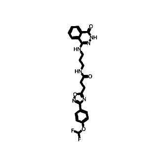 O=C(CCc1nc(-c2ccc(OC(F)F)cc2)no1)NCCCNc1n[nH]c(=O)c2ccccc12